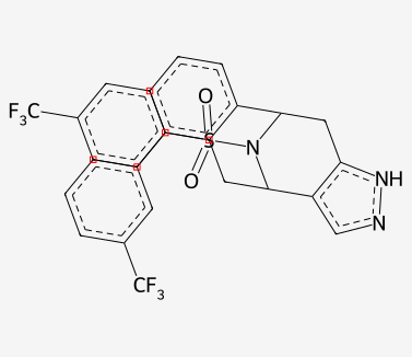 O=S(=O)(c1ccc(C(F)(F)F)cc1)N1C2Cc3c(-c4cccc(C(F)(F)F)c4)cccc3C1Cc1[nH]ncc12